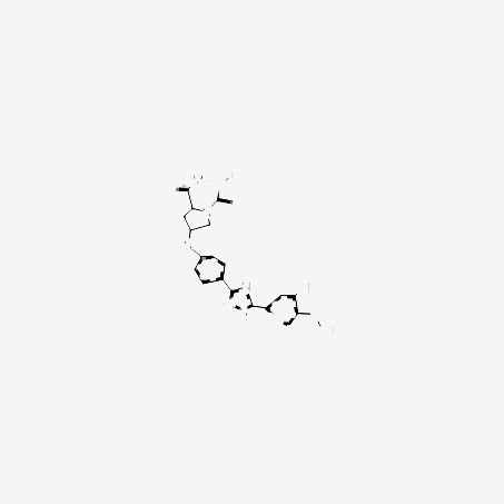 COC(=O)C1CC(Nc2ccc(-c3nc(-c4ccc(OC(C)C)c(Cl)c4)no3)cc2)CN1C(=O)OC(C)(C)C